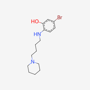 Oc1cc(Br)ccc1NCCCCN1CCCCC1